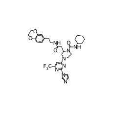 O=C(CC1CN(c2cc(C(F)(F)F)nc(-n3ccnc3)n2)CCN1C(=O)NC1CCCCC1)NCCc1ccc2c(c1)OCCO2